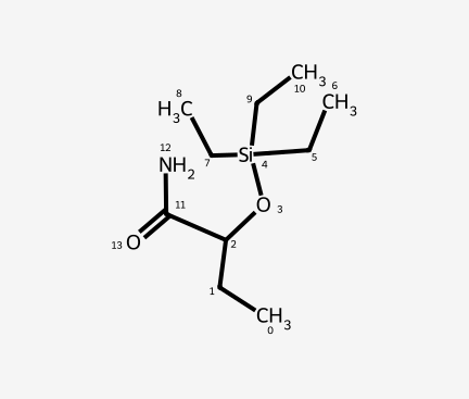 CCC(O[Si](CC)(CC)CC)C(N)=O